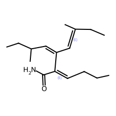 CCC/C=C(/C(N)=O)C(=CC(C)CC)/C=C(\C)CC